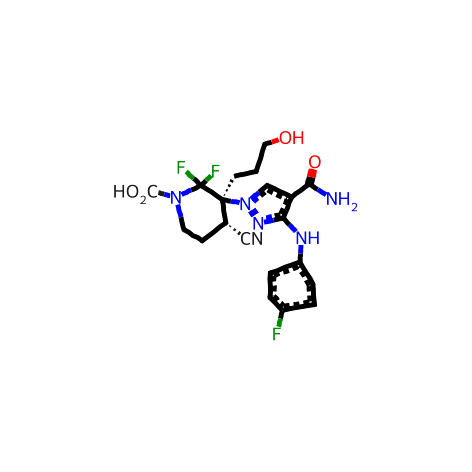 N#C[C@@H]1CCN(C(=O)O)C(F)(F)[C@@]1(CCCO)n1cc(C(N)=O)c(Nc2ccc(F)cc2)n1